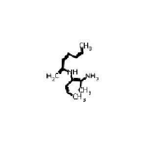 C=C(/C=C\C=C/C)NC(/C=C\C)=C(/C)N